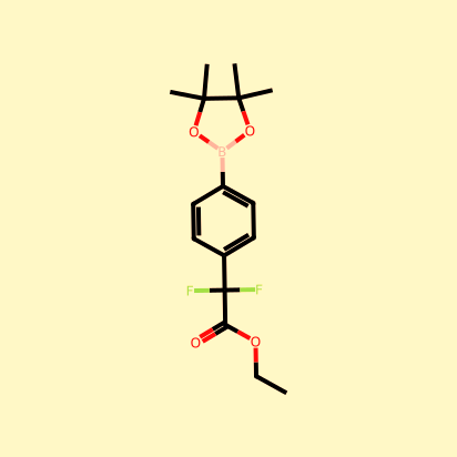 CCOC(=O)C(F)(F)c1ccc(B2OC(C)(C)C(C)(C)O2)cc1